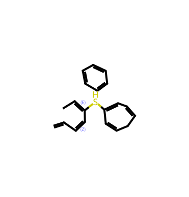 C=C/C=C\C(=C/C)[SH](C1=CC=CCC=C1)c1ccccc1